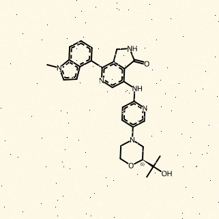 Cn1ccc2c(-c3ncc(Nc4ccc(N5CCO[C@H](C(C)(C)O)C5)cn4)c4c3CNC4=O)cccc21